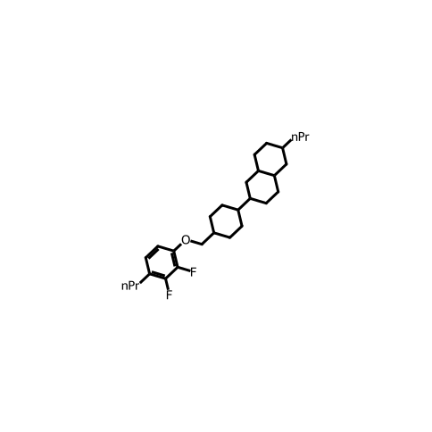 CCCc1ccc(OCC2CCC(C3CCC4CC(CCC)CCC4C3)CC2)c(F)c1F